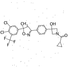 CC1(c2cc(Cl)c(Cl)c(C(F)(F)F)c2)CC(c2ccc(C3(O)CN(C(=O)C4CC4)C3)cc2)=NO1